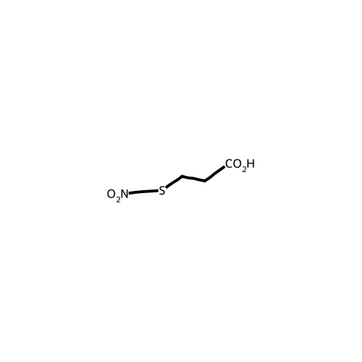 O=C(O)CCS[N+](=O)[O-]